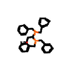 CCCC(P(Cc1ccccc1)Cc1ccccc1)P(Cc1ccccc1)Cc1ccccc1